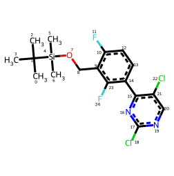 CC(C)(C)[Si](C)(C)OCc1c(F)ccc(-c2nc(Cl)ncc2Cl)c1F